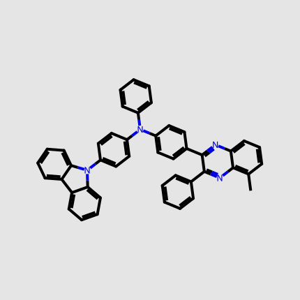 Cc1cccc2nc(-c3ccc(N(c4ccccc4)c4ccc(-n5c6ccccc6c6ccccc65)cc4)cc3)c(-c3ccccc3)nc12